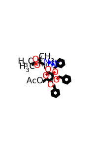 CC(=O)OCC1O[C@H](OC[C@H](N=[N+]=[N-])[C@@H]2OC(C)(C)O[C@@H]2C)C(OCc2ccccc2)C(OCc2ccccc2)[C@H]1OCc1ccccc1